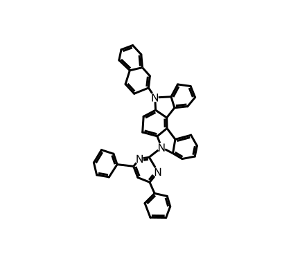 c1ccc(-c2cc(-c3ccccc3)nc(-n3c4ccccc4c4c5c6ccccc6n(-c6ccc7ccccc7c6)c5ccc43)n2)cc1